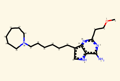 COCCc1nc(N)c2[nH]cc(CCCCCCN3CCCCCC3)c2n1